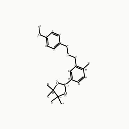 COc1ccc(COCc2cc(B3OC(C)(C)C(C)(C)O3)ccc2C)cc1